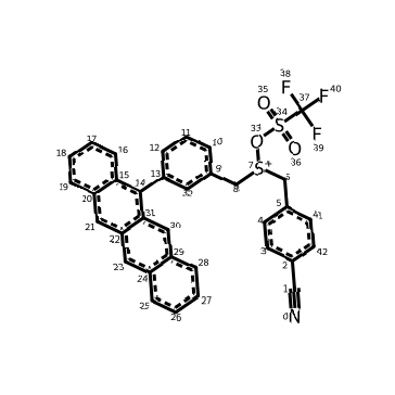 N#Cc1ccc(C[S+](Cc2cccc(-c3c4ccccc4cc4cc5ccccc5cc34)c2)OS(=O)(=O)C(F)(F)F)cc1